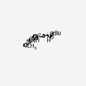 CC(C)(C)OC(=O)NCC1CC(COc2cccc(Nc3cc(C4(C)CCCC4)nn3C(C)(C)C)n2)C1